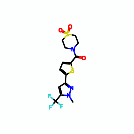 Cn1nc(-c2ccc(C(=O)N3CCS(=O)(=O)CC3)s2)cc1C(F)(F)F